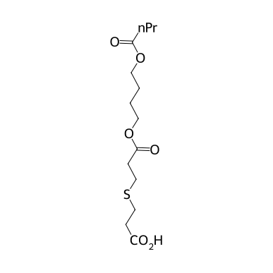 CCCC(=O)OCCCCOC(=O)CCSCCC(=O)O